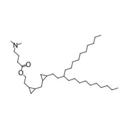 CCCCCCCCCCC(CCCCCCCCCC)CCC1CC1CC1CC1CCOC(=O)CCCN(C)C